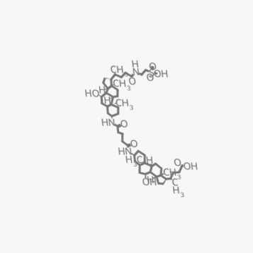 C[C@H](CCC(=O)O)[C@H]1CC[C@@H]2C3[C@@H](CC[C@@]21C)[C@@]1(C)CC[C@H](NC(=O)CCCC(=O)N[C@H]2CC[C@@]4(C)C(C2)C[C@H](O)C2[C@H]5CC[C@H]([C@H](C)CCC(=O)NCCS(=O)(=O)O)[C@@]5(C)CC[C@H]24)CC1C[C@@H]3O